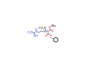 CC(C)(C)OC(=O)N(C(=O)OCc1ccccc1)[C@@H](CCCNC(=N)N)C(=O)O